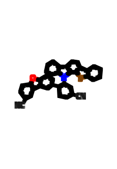 N#Cc1ccc(-c2ccc3oc4ccc(C#N)cc4c3c2)c(-n2c3ccccc3c3ccc4c5ccccc5sc4c32)c1